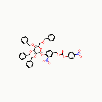 O=C(OCc1ccc(O[C@@H]2OC(COCc3ccccc3)[C@H](OCc3ccccc3)C(OCc3ccccc3)[C@@H]2OCc2ccccc2)c([N+](=O)[O-])c1)Oc1ccc([N+](=O)[O-])cc1